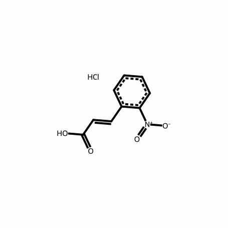 Cl.O=C(O)C=Cc1ccccc1[N+](=O)[O-]